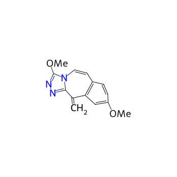 C=C1c2cc(OC)ccc2C=Cn2c(OC)nnc21